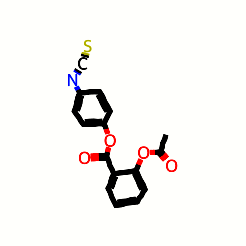 CC(=O)Oc1ccccc1C(=O)Oc1ccc(N=C=S)cc1